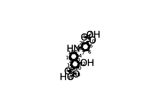 O=S(=O)(O)c1cccc(Nc2ccc3cc(S(=O)(=O)O)cc(O)c3c2)c1